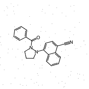 N#Cc1ccc(N2CCCN2C(=O)c2ccccc2)c2ccccc12